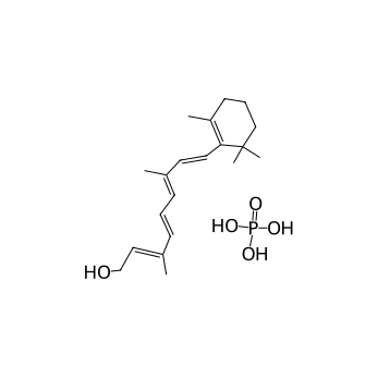 CC(C=CC1=C(C)CCCC1(C)C)=CC=CC(C)=CCO.O=P(O)(O)O